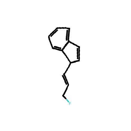 FC/C=C/C1C=Cc2c[c]ccc21